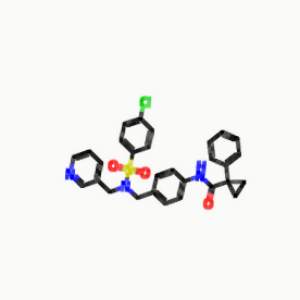 O=C(Nc1ccc(CN(Cc2cccnc2)S(=O)(=O)c2ccc(Cl)cc2)cc1)C1(c2ccccc2)CC1